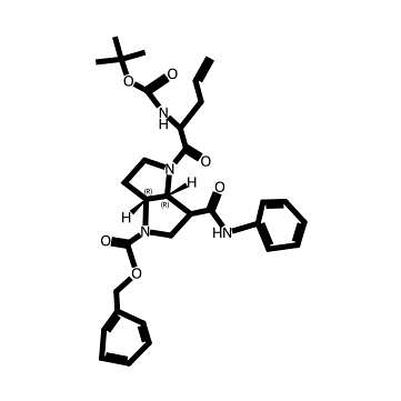 C=CCC(NC(=O)OC(C)(C)C)C(=O)N1CC[C@@H]2[C@H]1C(C(=O)Nc1ccccc1)CN2C(=O)OCc1ccccc1